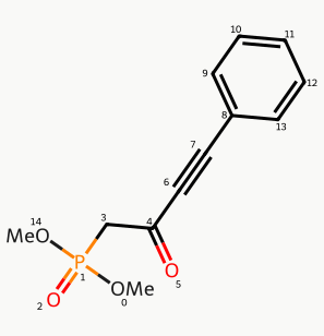 COP(=O)(CC(=O)C#Cc1ccccc1)OC